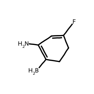 BC1=C(N)C=C(F)CC1